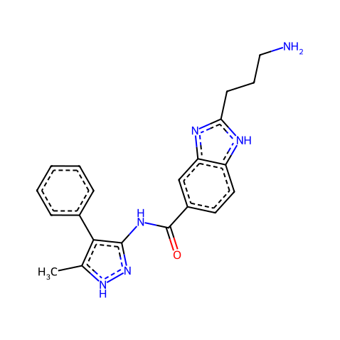 Cc1[nH]nc(NC(=O)c2ccc3[nH]c(CCCN)nc3c2)c1-c1ccccc1